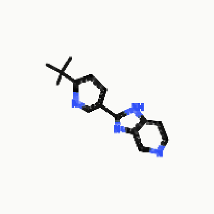 CC(C)(C)c1ccc(-c2nc3cnccc3[nH]2)cn1